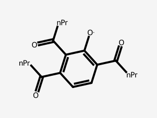 CCCC(=O)c1ccc(C(=O)CCC)c(C(=O)CCC)c1[O]